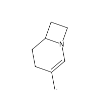 [CH2]C1=CN2CCC2CC1